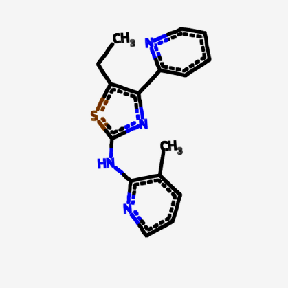 CCc1sc(Nc2ncccc2C)nc1-c1ccccn1